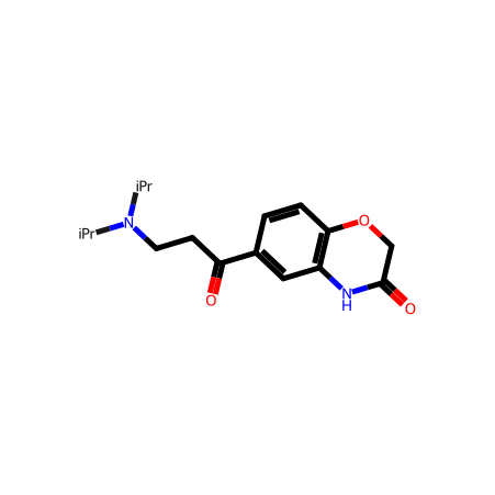 CC(C)N(CCC(=O)c1ccc2c(c1)NC(=O)CO2)C(C)C